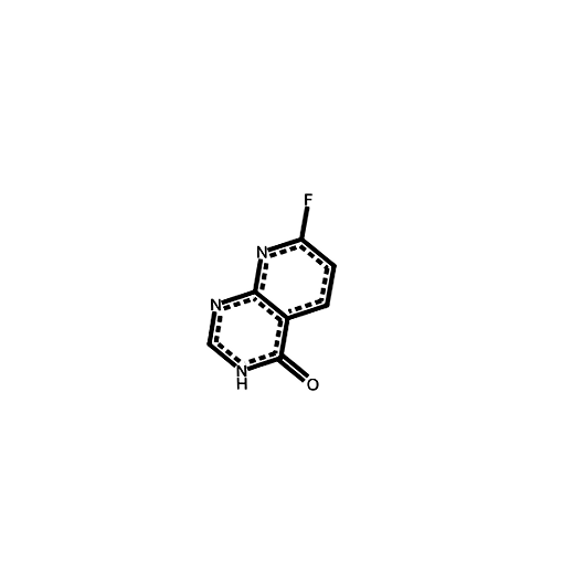 O=c1[nH]cnc2nc(F)ccc12